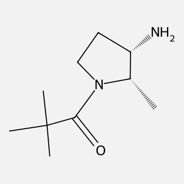 C[C@H]1[C@@H](N)CCN1C(=O)C(C)(C)C